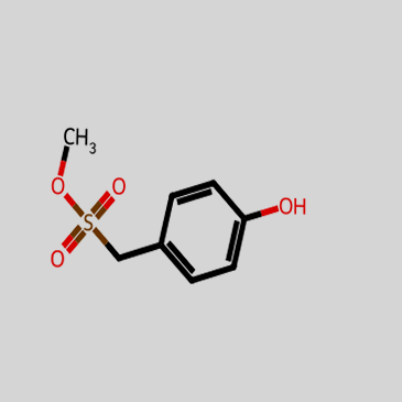 COS(=O)(=O)Cc1ccc(O)cc1